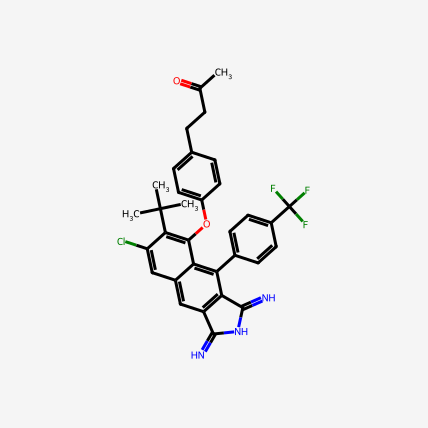 CC(=O)CCc1ccc(Oc2c(C(C)(C)C)c(Cl)cc3cc4c(c(-c5ccc(C(F)(F)F)cc5)c23)C(=N)NC4=N)cc1